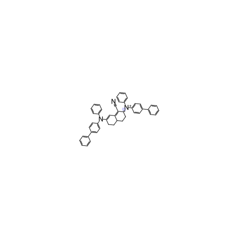 N#CC1=C2C=C(N(c3ccccc3)c3ccc(-c4ccccc4)cc3)CCC2CC/C1=[N+](/c1ccccc1)c1ccc(-c2ccccc2)cc1